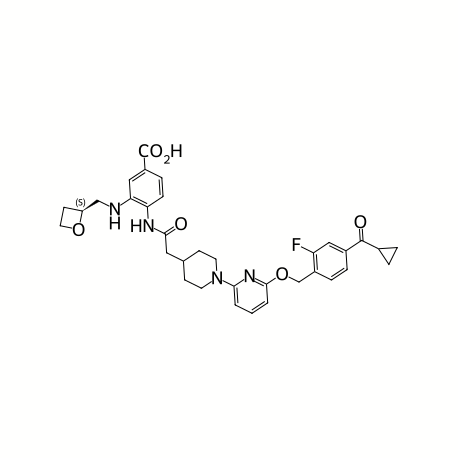 O=C(CC1CCN(c2cccc(OCc3ccc(C(=O)C4CC4)cc3F)n2)CC1)Nc1ccc(C(=O)O)cc1NC[C@@H]1CCO1